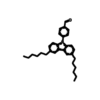 CCCCCCc1ccc2c(c1)c1cc(CCCCCC)ccc1n2-c1ccc(C=O)cc1